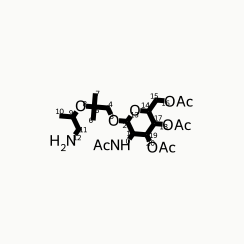 CC(=O)NC1C(OCC(C)(C)OC(C)CN)OC(COC(C)=O)C(OC(C)=O)C1OC(C)=O